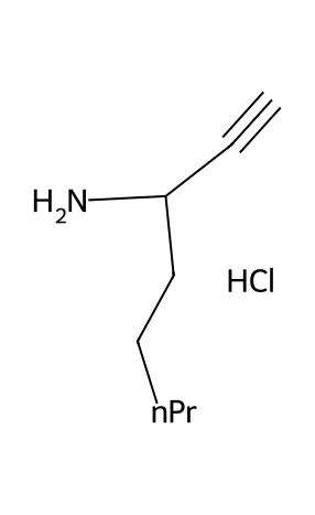 C#CC(N)CCCCC.Cl